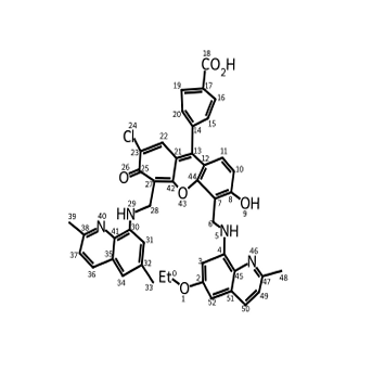 CCOc1cc(NCc2c(O)ccc3c(-c4ccc(C(=O)O)cc4)c4cc(Cl)c(=O)c(CNc5cc(C)cc6ccc(C)nc56)c-4oc23)c2nc(C)ccc2c1